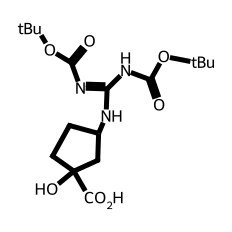 CC(C)(C)OC(=O)/N=C(\NC(=O)OC(C)(C)C)NC1CCC(O)(C(=O)O)C1